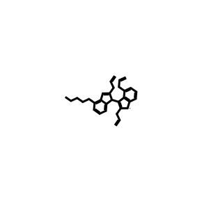 C=CCC1=Cc2c(CCCCC)cccc2C1C1=C(CC=C)[CH]c2cccc(CC=C)c21